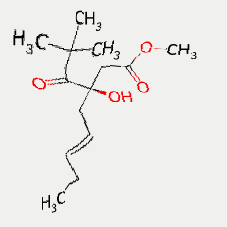 CC/C=C/C[C@@](O)(CC(=O)OC)C(=O)C(C)(C)C